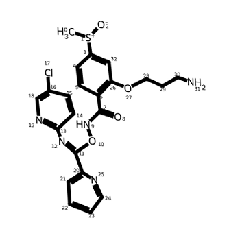 C[S+]([O-])c1ccc(C(=O)NOC(=Nc2ccc(Cl)cn2)c2ccccn2)c(OCCCN)c1